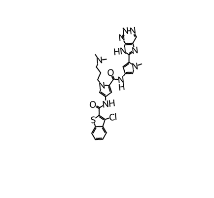 CN(C)CCCn1cc(NC(=O)c2sc3ccccc3c2Cl)cc1C(=O)Nc1cc(-c2nc3cnnnc3[nH]2)n(C)c1